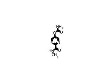 CNC(=O)c1ncc(OC(N)=O)cn1